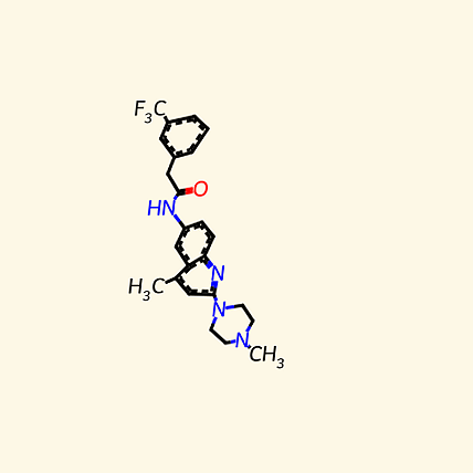 Cc1cc(N2CCN(C)CC2)nc2ccc(NC(=O)Cc3cccc(C(F)(F)F)c3)cc12